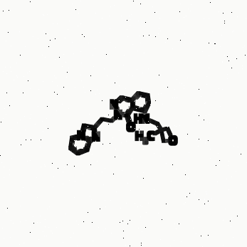 CC1(CNc2cccc3cnn(CCc4cn5ccccc5n4)c(=O)c23)COC1